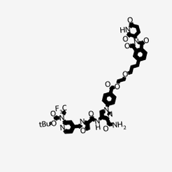 CC(C)(C)OC(=O)N(CC(F)(F)F)c1cc(-c2nc(C(=O)Nc3cn(-c4ccc(C(=O)OCCOCCCc5ccc6c(c5)C(=O)N(C5CCC(=O)NC5=O)C6=O)cc4)nc3C(N)=O)co2)ccn1